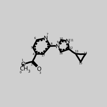 COC(=O)c1ccnc(-n2cnc(C3CC3)c2)c1